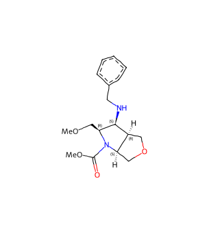 COC[C@H]1[C@@H](NCc2ccccc2)[C@H]2COC[C@H]2N1C(=O)OC